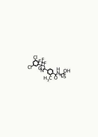 Cc1cc(C2=NOC(c3cc(Cl)cc(Cl)c3)(C(F)(F)F)C2)ccc1C(=O)N[C@H]1CS[C@@H]1O